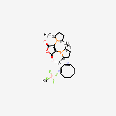 C1=C\CCCC\C=C/1.C[C@@H]1CC[C@@H](C)P1C1=C(P2[C@H](C)CC[C@H]2C)C(=O)OC1=O.F[B-](F)(F)F.[Rh+]